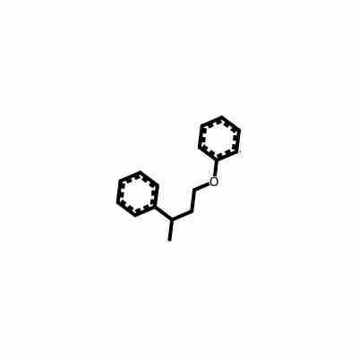 CC(CCOc1[c]cccc1)c1ccccc1